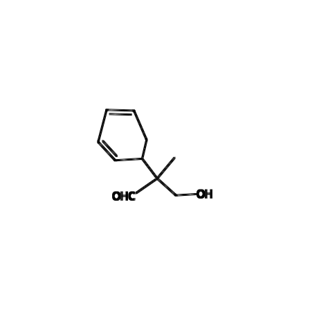 CC(C=O)(CO)C1C=CC=CC1